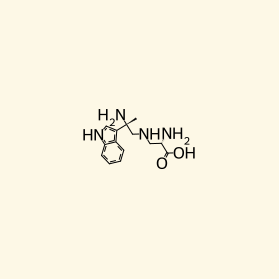 C[C@@](N)(CNC[C@H](N)C(=O)O)c1c[nH]c2ccccc12